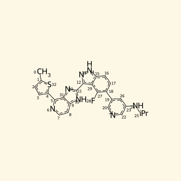 Cc1ccc(-c2nccc3[nH]c(-c4n[nH]c5ccc(-c6cncc(NC(C)C)c6)c(F)c45)nc23)s1